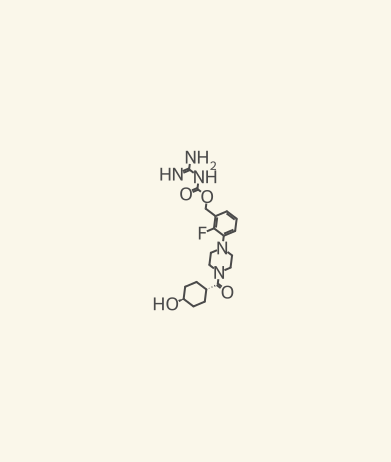 N=C(N)NC(=O)OCc1cccc(N2CCN(C(=O)[C@H]3CC[C@H](O)CC3)CC2)c1F